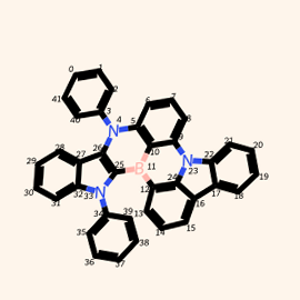 c1ccc(N2c3cccc4c3B(c3cccc5c6ccccc6n-4c35)c3c2c2ccccc2n3-c2ccccc2)cc1